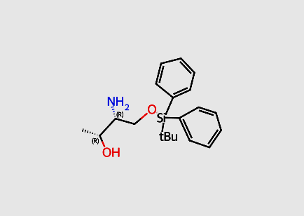 C[C@@H](O)[C@H](N)CO[Si](c1ccccc1)(c1ccccc1)C(C)(C)C